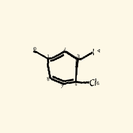 CC1=CC(I)C(Cl)=C=C1